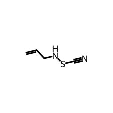 C=CCNSC#N